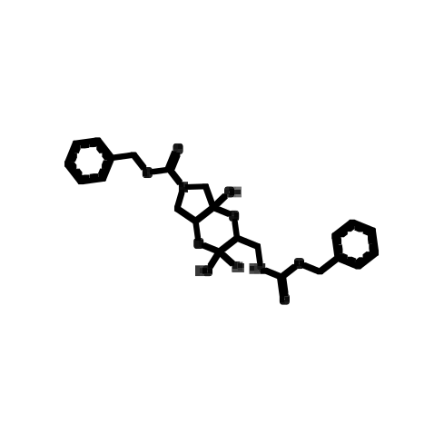 CCC1(O)OC2CN(C(=O)OCc3ccccc3)CC2(O)OC1CNC(=O)OCc1ccccc1